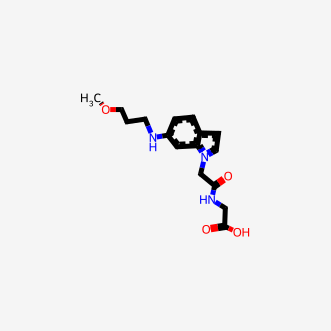 COCCCNc1ccc2ccn(CC(=O)NCC(=O)O)c2c1